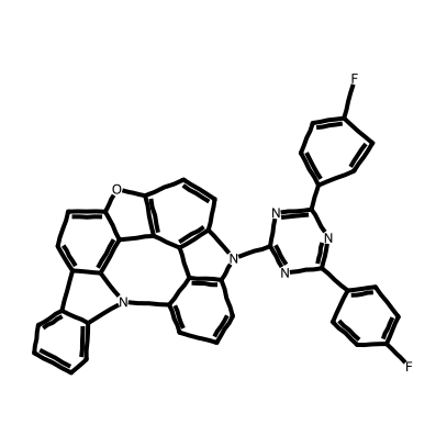 Fc1ccc(-c2nc(-c3ccc(F)cc3)nc(-n3c4ccc5oc6ccc7c8ccccc8n8c9cccc3c9c4c5c6c78)n2)cc1